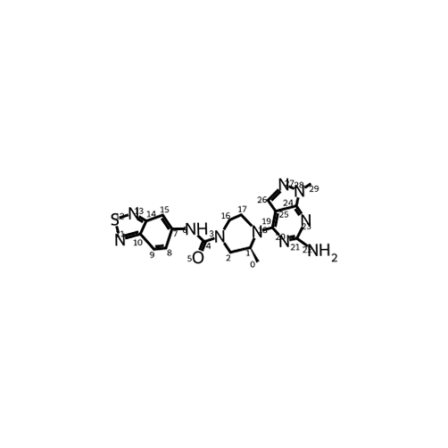 C[C@H]1CN(C(=O)Nc2ccc3nsnc3c2)CCN1c1nc(N)nc2c1cnn2C